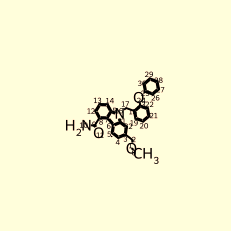 COCc1c[c]c2c3c(C(N)=O)cccc3n(Cc3ccccc3Oc3ccccc3)c2c1